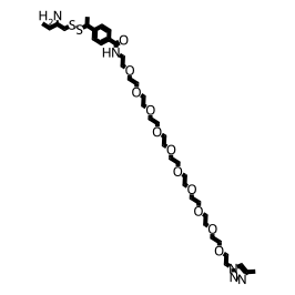 CC[C@@H](N)CSSC(C)c1ccc(C(=O)NCCOCCOCCOCCOCCOCCOCCOCCOCCOCCOCCn2cc(C)nn2)cc1